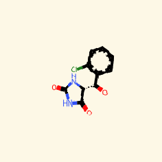 O=C1NC(=O)[C@@H](C(=O)c2ccccc2Cl)N1